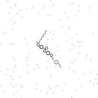 CCCCCCCCCC(C)Oc1ccc(C(=O)Oc2ccc(OCCC[C@H]3CC[C@H](CCC)CC3)cc2)cc1